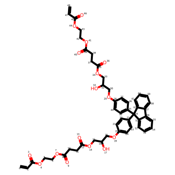 C=CC(=O)OCCOC(=O)CCC(=O)OCC(O)COc1ccc(C2(c3ccc(OCC(O)COC(=O)CCC(=O)OCCOC(=O)C=C)cc3)c3ccccc3-c3ccccc32)cc1